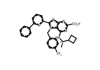 C[C@@H](Nc1nc(C(=O)O)nc2nc(-c3cccc(-c4ccccc4)n3)n(Cc3ccc(C(F)(F)F)cc3)c12)C1CCC1